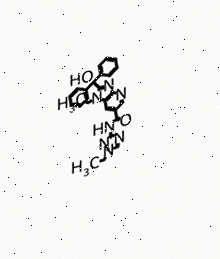 CCn1cnc(NC(=O)c2cnc3nc(C(O)(c4ccccc4)c4ccccc4)n(CC)c3c2)n1